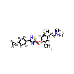 CCN(C)CCc1cc(C)c(Oc2nc(-c3ccc(C4CC4)cc3)ns2)cc1C